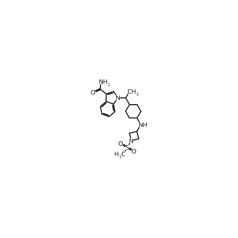 CC(C1CCC(NC2CN(S(C)(=O)=O)C2)CC1)n1cc(C(N)=O)c2ccccc21